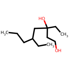 CCCC(CC)CC(O)(CC)CCO